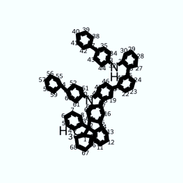 CC1(C2(c3ccccc3)c3ccccc3-c3cc4c5cc(-c6cccc(-c7ccccc7Nc7ccc(-c8ccccc8)cc7)c6)ccc5n(-c5ccc(-c6ccccc6)cc5)c4cc32)C=CC=CC1